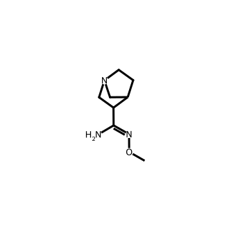 CON=C(N)C1CN2CCC1C2